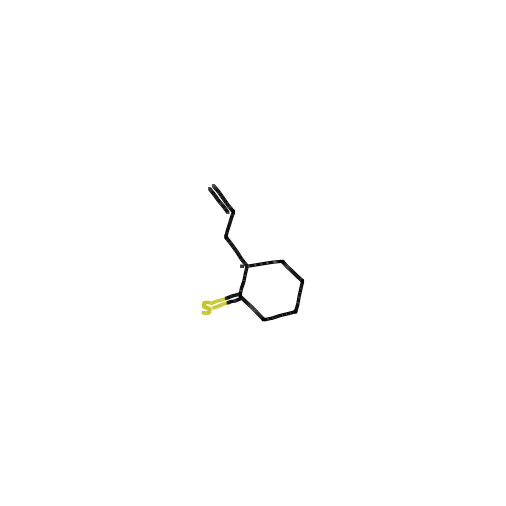 C=CC[C]1CCCCC1=S